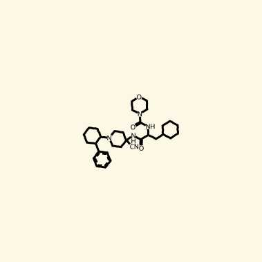 N#CC1(NC(=O)C(CC2CCCCC2)NC(=O)N2CCOCC2)CCN(C2CCCCC2c2ccccc2)CC1